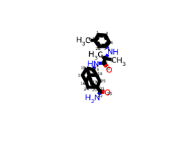 Cc1cccc(NC(C)(C)C(=O)NC2C3CC4CC2CC(C(N)=O)(C4)C3)c1